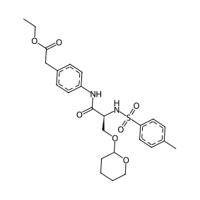 CCOC(=O)Cc1ccc(NC(=O)[C@H](COC2CCCCO2)NS(=O)(=O)c2ccc(C)cc2)cc1